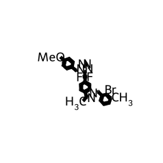 COc1ccc(Cn2nnnc2C(F)(F)c2ccc3c(C)nn(Cc4cccc(C)c4Br)c3c2)cc1